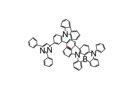 c1ccc(-c2cc(-c3ccc(-n4c5ccccc5c5ccccc54)c(-c4ccc(-c5ccc6c7c5N(c5ccccc5)c5ccccc5B7c5ccccc5N6c5ccccc5)cc4)c3)nc(-c3ccccc3)n2)cc1